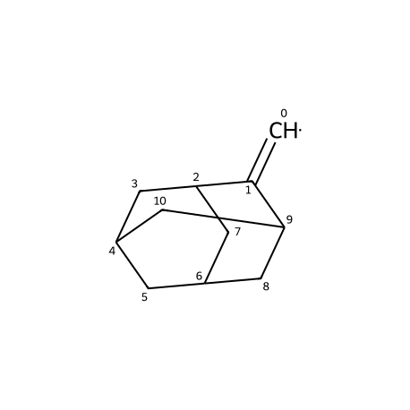 [CH]=C1C2CC3CC(C2)CC1C3